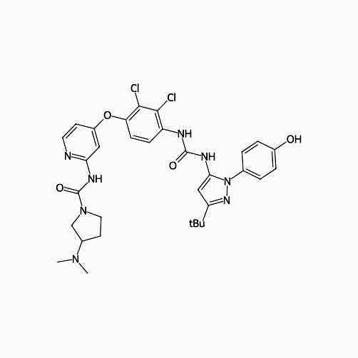 CN(C)C1CCN(C(=O)Nc2cc(Oc3ccc(NC(=O)Nc4cc(C(C)(C)C)nn4-c4ccc(O)cc4)c(Cl)c3Cl)ccn2)C1